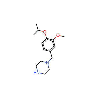 COc1cc(CN2CCNCC2)ccc1OC(C)C